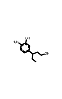 CCC(CCO)c1ccc(N)c(O)c1